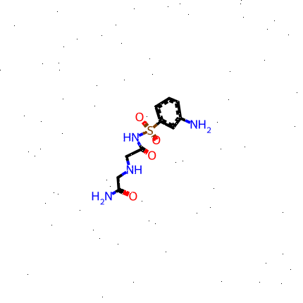 NC(=O)CNCC(=O)NS(=O)(=O)c1cccc(N)c1